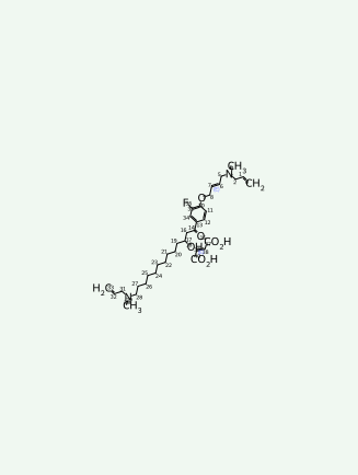 C=CCN(C)C/C=C/COc1ccc(C(=O)CC(O)CCCCCCCCCCN(C)CC=C)cc1F.O=C(O)/C=C/C(=O)O